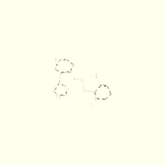 OC(CC1c2ccncc2-c2cncn21)c1c(F)cccc1Cl